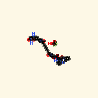 O=C(O)C(F)(F)F.O=C1CCC(Nc2ccc(C3CCN(C(=O)CCCCCCCCCCC(=O)N4CCC(O)(CNC(=O)c5cc(NC(=O)NCc6ccccc6C(F)(F)F)n(-c6ccccc6)n5)CC4)CC3)cc2)C(=O)N1